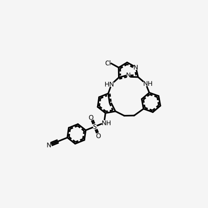 N#Cc1ccc(S(=O)(=O)Nc2ccc3cc2CCc2cccc(c2)Nc2ncc(Cl)c(n2)N3)cc1